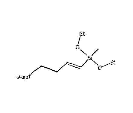 CCCCCCCCCC=C[Si](C)(OCC)OCC